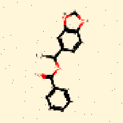 O=C(OC(c1ccc2c(c1)OCO2)[N+](=O)[O-])c1ccccc1